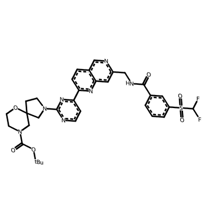 CC(C)(C)OC(=O)N1CCOC2(CCN(c3nccc(-c4ccc5cnc(CNC(=O)c6cccc(S(=O)(=O)C(F)F)c6)cc5n4)n3)C2)C1